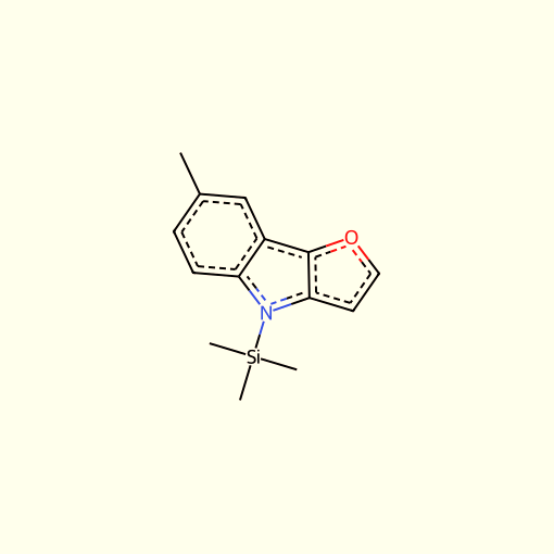 Cc1ccc2c(c1)c1occc1n2[Si](C)(C)C